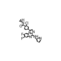 O=C(NC1CC1)c1ccc(-c2cnc3c(NCc4cccnc4)nc4cc(F)c(F)cc4n23)cc1Cl